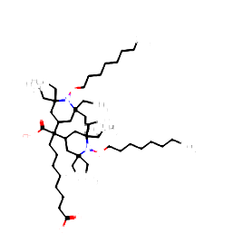 CCCCCCCCON1C(CC)(CC)CC(C(CCCCCCCC(=O)O)(C(=O)O)C2CC(CC)(CC)N(OCCCCCCCC)C(CC)(CC)C2)CC1(CC)CC